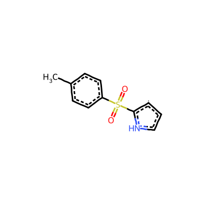 Cc1ccc(S(=O)(=O)c2[c]cc[nH]2)cc1